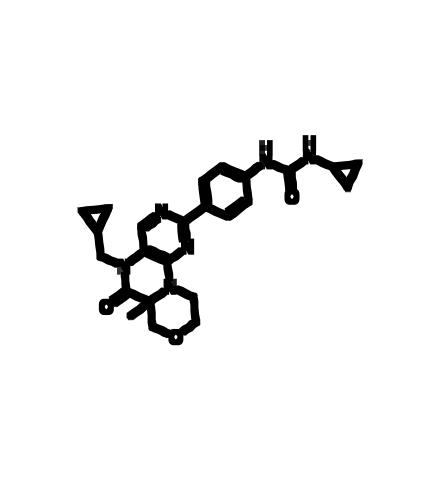 CC12COCCN1c1nc(-c3ccc(NC(=O)NC4CC4)cc3)ncc1N(CC1CC1)C2=O